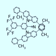 Cc1ccccc1-c1ccc2c3ccc(-c4ccccc4C)cc3n(-c3cc(-c4cc(C(F)(F)F)cc(C(F)(F)F)c4)cc(-n4c5cc(-c6ccccc6C)ccc5c5ccc(-c6ccccc6C)cc54)c3C#N)c2c1